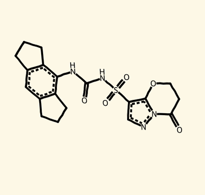 O=C(Nc1c2c(cc3c1CCC3)CCC2)NS(=O)(=O)c1cnn2c1OCCC2=O